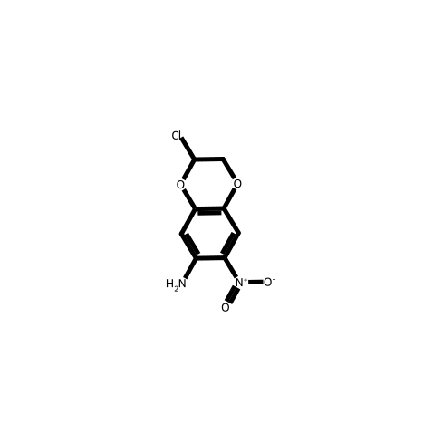 Nc1cc2c(cc1[N+](=O)[O-])OCC(Cl)O2